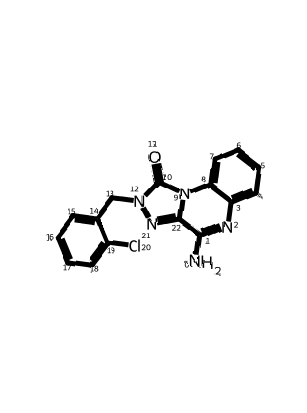 Nc1nc2ccccc2n2c(=O)n(Cc3ccccc3Cl)nc12